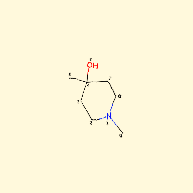 CN1CCC(C)(O)CC1